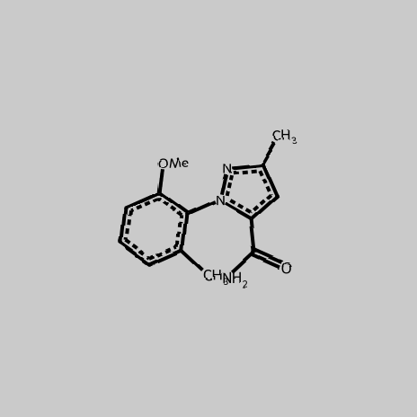 COc1cccc(C)c1-n1nc(C)cc1C(N)=O